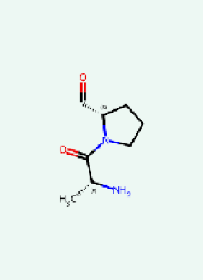 C[C@@H](N)C(=O)N1CCC[C@H]1C=O